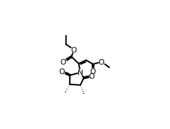 CCOC(=O)/C(=C/C(=O)OC)N1C(=O)[C@@H](C)[C@@H](C)C1=O